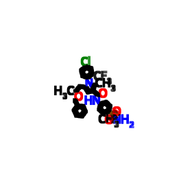 Cc1cc(NC(=O)c2cc(C[C@H](C)OCc3ccccc3)n(-c3ccc(Cl)cc3C(F)(F)F)c2C)ccc1S(N)(=O)=O